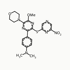 COc1nc(Sc2cncc([N+](=O)[O-])n2)c(-c2ccc(N(C)C)cc2)nc1N1CCOCC1